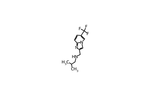 CC(C)CNCc1cn2cc(C(F)(F)F)ccc2n1